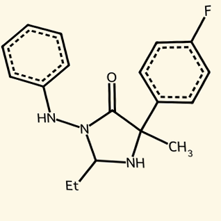 CCC1NC(C)(c2ccc(F)cc2)C(=O)N1Nc1ccccc1